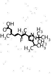 CC(C=CC(F)=C(C)c1cc(C(C)C)n(C(C)(C)C)n1)=CC(=O)O